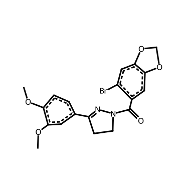 COc1ccc(C2=NN(C(=O)c3cc4c(cc3Br)OCO4)CC2)cc1OC